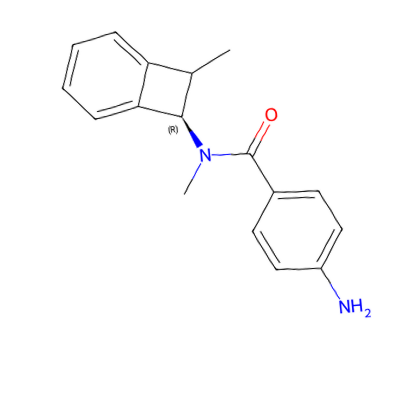 CC1c2ccccc2[C@@H]1N(C)C(=O)c1ccc(N)cc1